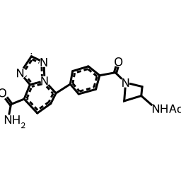 CC(=O)NC1CN(C(=O)c2ccc(-c3ccc(C(N)=O)c4n[c]nn34)cc2)C1